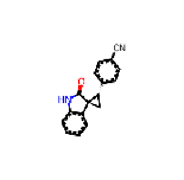 N#Cc1ccc([C@@H]2C[C@@]23C(=O)Nc2ccccc23)cc1